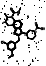 COC(=O)N1c2ccc3c(nc(Cc4cc(Cl)cc(OC)c4)n3[C@@H]3CCC[C@@H](C(=O)O)C3)c2CCC1C